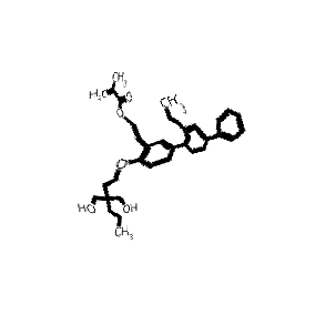 C=C(C)C(=O)OCCc1cc(-c2ccc(-c3ccccc3)cc2CC)ccc1OCCC(CO)(CO)CCC